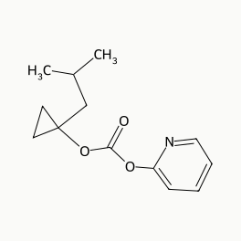 CC(C)CC1(OC(=O)Oc2ccccn2)CC1